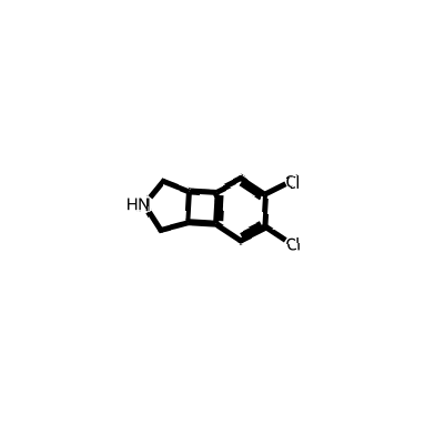 Clc1cc2c(cc1Cl)C1CNCC21